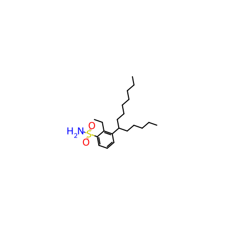 CCCCCCCC(CCCCC)c1cccc(S(N)(=O)=O)c1CC